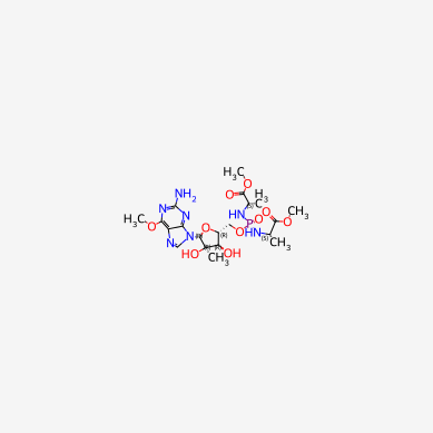 COC(=O)[C@H](C)NP(=O)(N[C@@H](C)C(=O)OC)OC[C@H]1O[C@@H](n2cnc3c(OC)nc(N)nc32)[C@](C)(O)[C@@H]1O